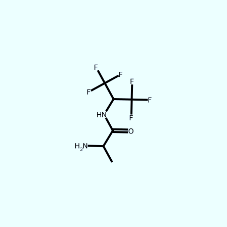 CC(N)C(=O)NC(C(F)(F)F)C(F)(F)F